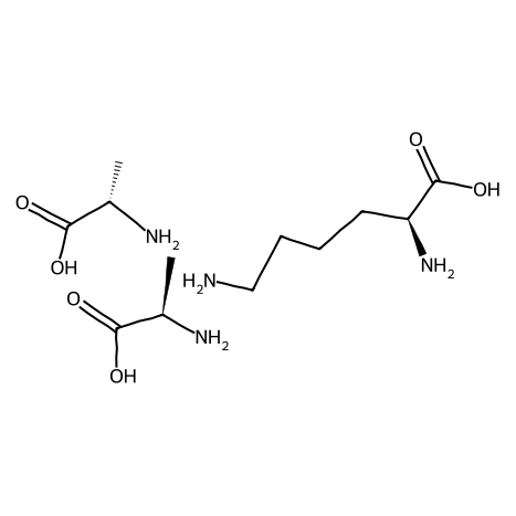 C[C@@H](N)C(=O)O.C[C@H](N)C(=O)O.NCCCC[C@H](N)C(=O)O